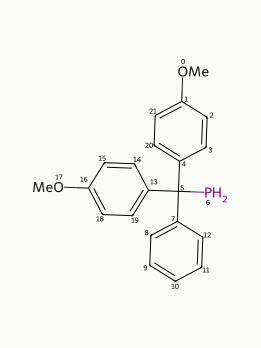 COc1ccc(C(P)(c2ccccc2)c2ccc(OC)cc2)cc1